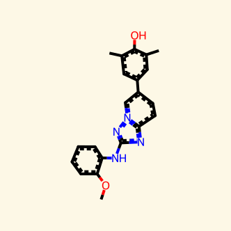 COc1ccccc1Nc1nc2ccc(-c3cc(C)c(O)c(C)c3)cn2n1